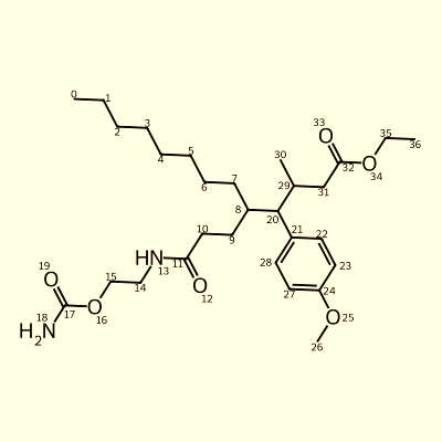 CCCCCCCCC(CCC(=O)NCCOC(N)=O)C(c1ccc(OC)cc1)C(C)CC(=O)OCC